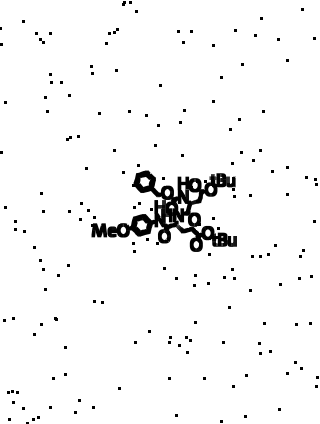 COc1ccc(NC(=O)[C@H](CCC(=O)OC(C)(C)C)NC(=O)[C@H](CC(=O)OC(C)(C)C)NC(=O)OCc2ccccc2)cc1